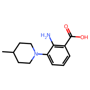 CC1CCN(c2cccc(C(=O)O)c2N)CC1